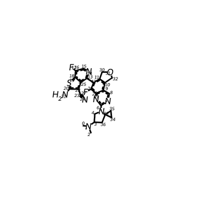 CN(C)C1CN(c2ncc3c4c(c(-c5ncc(F)c6sc(N)c(C#N)c56)c(F)c3n2)COC4)C2(CC2)C1